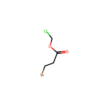 O=C(CCBr)OCCl